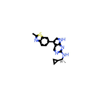 Cc1nc2ccc(-c3c[nH]c4nc(N[C@H](C)C5CC5)ncc34)cc2s1